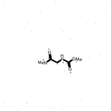 CNC(=O)CNC(=O)OC